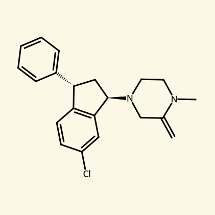 C=C1CN([C@@H]2C[C@@H](c3ccccc3)c3ccc(Cl)cc32)CCN1C